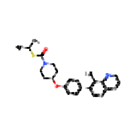 Cc1c(-c2ccc(OC3CCN(C(=O)SC(C)C)CC3)cc2)ccc2cccnc12